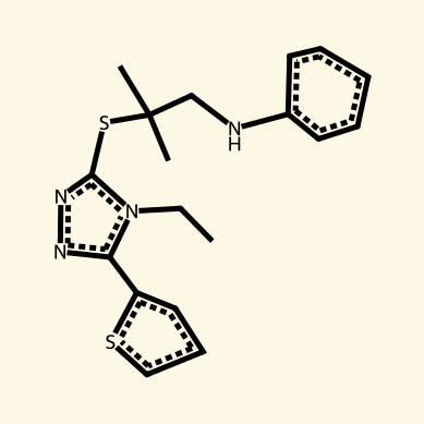 CCn1c(SC(C)(C)CNc2ccccc2)nnc1-c1cccs1